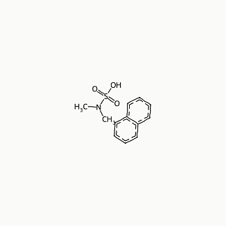 CN(C)S(=O)(=O)O.c1ccc2ccccc2c1